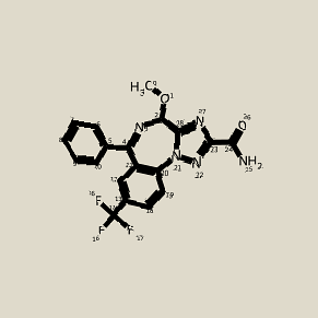 COC1N=C(c2ccccc2)c2cc(C(F)(F)F)ccc2-n2nc(C(N)=O)nc21